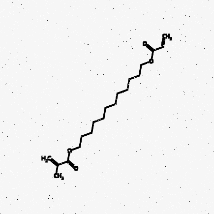 C=CC(=O)OCCCCCCCCCCCCOC(=O)C(=C)C